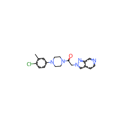 Cc1cc(N2CCN(C(=O)Cn3cc4ccncc4n3)CC2)ccc1Cl